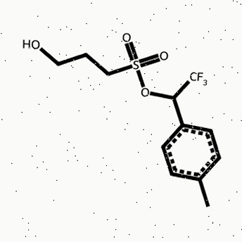 Cc1ccc(C(OS(=O)(=O)CCCO)C(F)(F)F)cc1